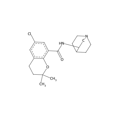 CC1(C)CCc2cc(Cl)cc(C(=O)NC3CN4CCC3CC4)c2O1